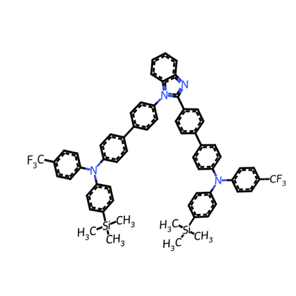 C[Si](C)(C)c1ccc(N(c2ccc(-c3ccc(-c4nc5ccccc5n4-c4ccc(-c5ccc(N(c6ccc(C(F)(F)F)cc6)c6ccc([Si](C)(C)C)cc6)cc5)cc4)cc3)cc2)c2ccc(C(F)(F)F)cc2)cc1